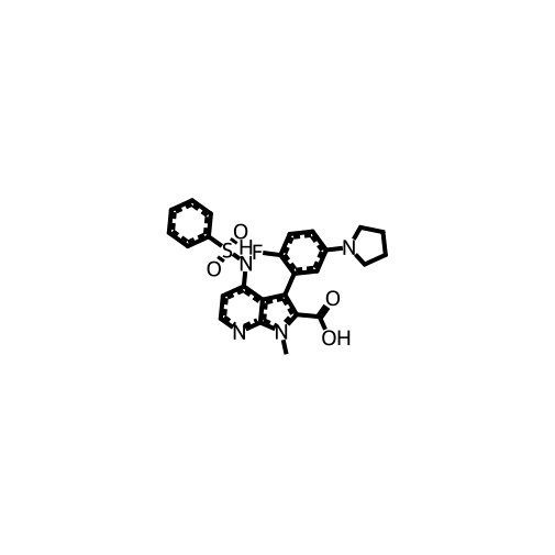 Cn1c(C(=O)O)c(-c2cc(N3CCCC3)ccc2F)c2c(NS(=O)(=O)c3ccccc3)ccnc21